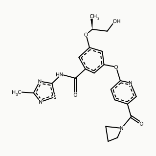 Cc1nsc(NC(=O)c2cc(Oc3ccc(C(=O)N4CCC4)cn3)cc(O[C@@H](C)CO)c2)n1